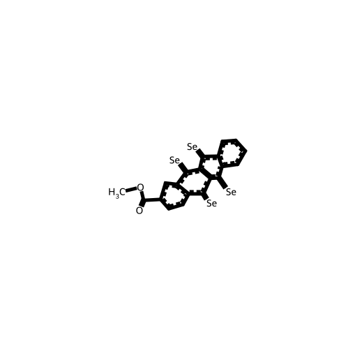 COC(=O)c1ccc2c(=[Se])c3c(=[Se])c4ccccc4c(=[Se])c=3c(=[Se])c2c1